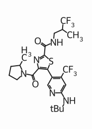 CC1CCCN1C(=O)c1nc(C(=O)NCC(C)C(F)(F)F)sc1-c1cnc(NC(C)(C)C)cc1C(F)(F)F